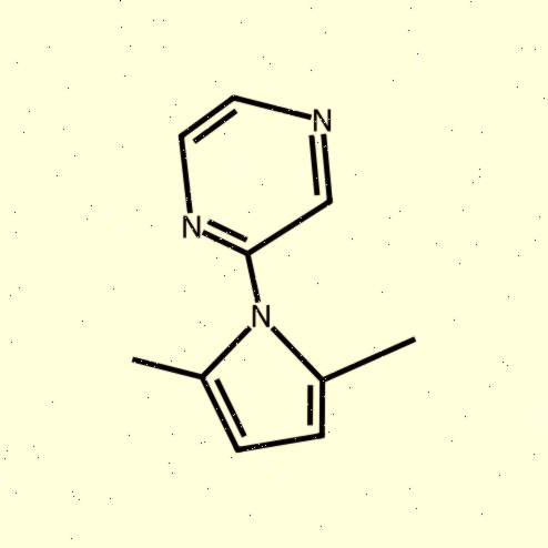 Cc1ccc(C)n1-c1cnccn1